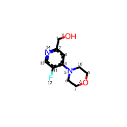 OCc1cc(N2CCOCC2)c(F)cn1